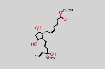 CC=CC(O)(C/C=C/[C@@H]1[C@@H](C/C=C\CCCC(=O)OCCCCCC)[C@@H](O)C[C@H]1O)CCCCCC